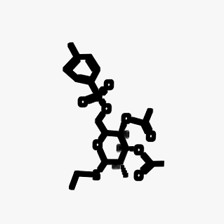 CCSC1OC(COS(=O)(=O)c2ccc(C)cc2)[C@@H](OC(C)=O)[C@H](OC(C)=O)[C@@H]1C